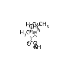 CC(C)C[C@H](CCC(=O)OS)C(C)C